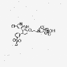 O=P(O)(O)OCCN(CCCOc1ccc(-c2cccc(S(=O)(=O)C3CC3)c2)c2c1[nH]c1ncc(Cl)cc12)CC(F)(F)F